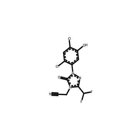 N#CCn1c(C(F)F)nn(-c2cc(O)c(Cl)cc2Cl)c1=O